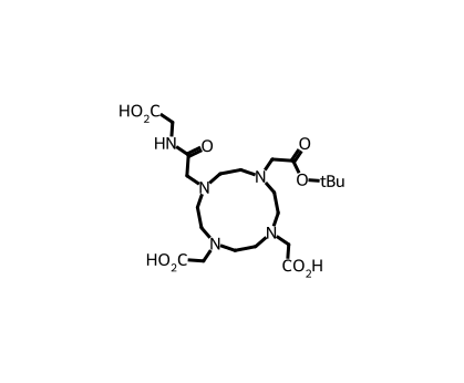 CC(C)(C)OC(=O)CN1CCN(CC(=O)O)CCN(CC(=O)O)CCN(CC(=O)NCC(=O)O)CC1